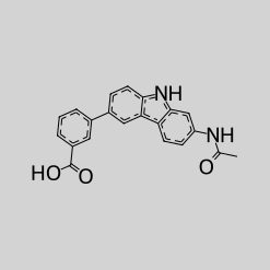 CC(=O)Nc1ccc2c(c1)[nH]c1ccc(-c3cccc(C(=O)O)c3)cc12